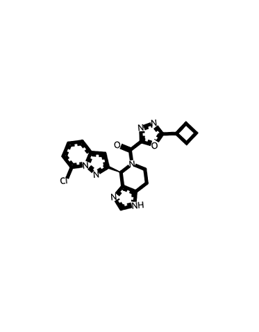 O=C(c1nnc(C2CCC2)o1)N1CCc2[nH]cnc2[C@H]1c1cc2cccc(Cl)n2n1